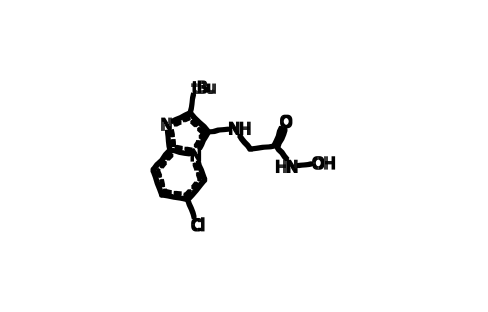 CC(C)(C)c1nc2ccc(Cl)cn2c1NCC(=O)NO